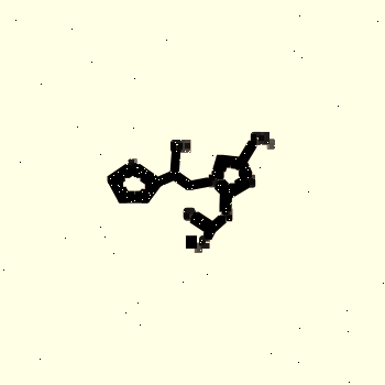 CC(=O)N=c1sc(C)cn1CC(O)c1cccs1